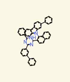 c1ccc(C2=NC(c3cccc(-c4ccccc4)c3)=NC(c3ccc4ccccc4c3-n3c4ccccc4c4ccc(-c5ccccc5)cc43)N2)cc1